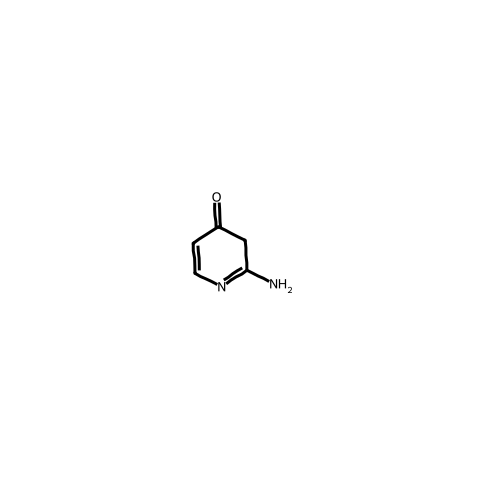 NC1=NC=CC(=O)C1